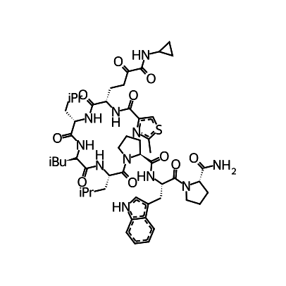 CC[C@H](C)C(NC(=O)[C@H](CC(C)C)NC(=O)[C@H](CCC(=O)C(=O)NC1CC1)NC(=O)c1csc(C)n1)C(=O)N[C@@H](CC(C)C)C(=O)N1CCC[C@H]1C(=O)N[C@@H](Cc1c[nH]c2ccccc12)C(=O)N1CCC[C@H]1C(N)=O